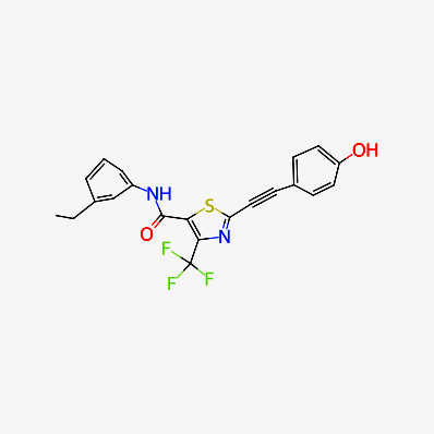 CCc1cccc(NC(=O)c2sc(C#Cc3ccc(O)cc3)nc2C(F)(F)F)c1